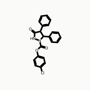 O=C1NN(C(=O)Oc2ccc(Cl)cc2)C(c2ccccc2)C1c1ccccc1